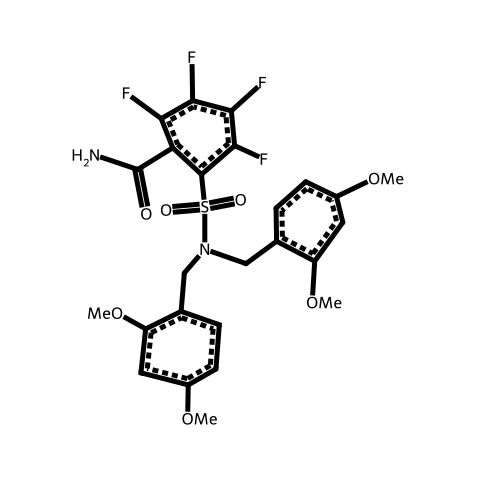 COc1ccc(CN(Cc2ccc(OC)cc2OC)S(=O)(=O)c2c(F)c(F)c(F)c(F)c2C(N)=O)c(OC)c1